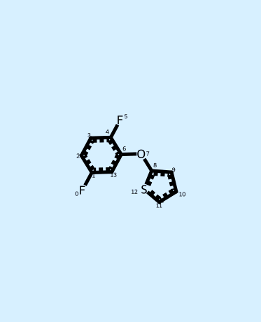 Fc1ccc(F)c(Oc2cc[c]s2)c1